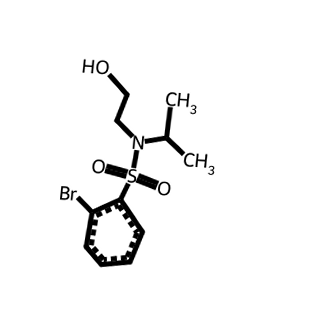 CC(C)N(CCO)S(=O)(=O)c1ccccc1Br